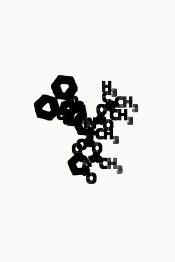 CC(OC(=O)[C@](C)(Cc1cc2c(-c3ccccc3)c(-c3ccccc3)c1OCO2)NC(=O)OC(C)(C)C)N1C(=O)CCC1=O